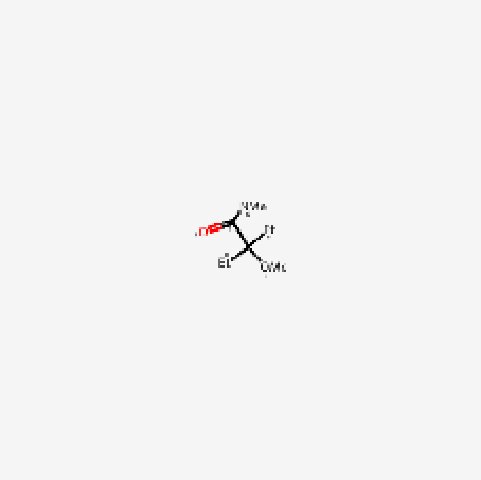 CCC(CC)(OC)C(=O)NC